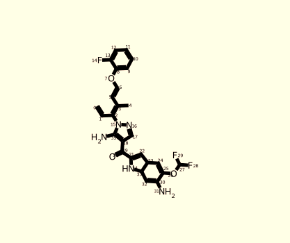 C=C/C(=C(C)\C=C\Oc1ccccc1F)n1ncc(C(=O)C2=CC3C=C(OC(F)F)C(N)=CC3N2)c1N